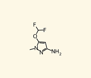 Cn1nc(N)cc1OC(F)F